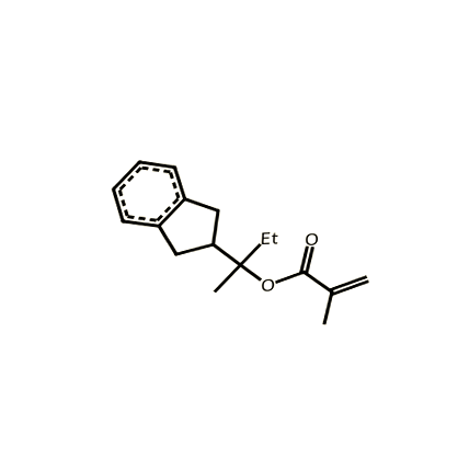 C=C(C)C(=O)OC(C)(CC)C1Cc2ccccc2C1